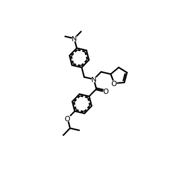 CC(C)Oc1ccc(C(=O)N(Cc2ccc(N(C)C)cc2)CC2CC=CO2)cc1